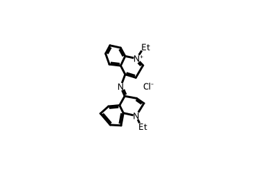 CCn1cc/c(=N\c2cc[n+](CC)c3ccccc23)c2ccccc21.[Cl-]